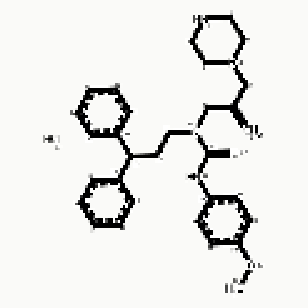 C=C(CN1CCNCC1)CN(CCC(c1ccccc1)c1ccccc1)C(=O)Nc1ccc(OC)cc1.Cl